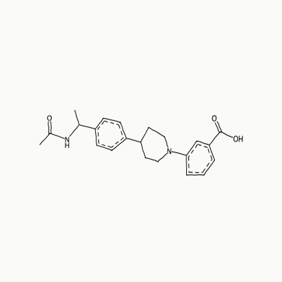 CC(=O)NC(C)c1ccc(C2CCN(c3cccc(C(=O)O)c3)CC2)cc1